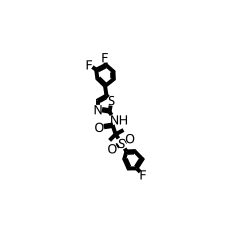 CC(C)(C(=O)Nc1ncc(-c2ccc(F)c(F)c2)s1)S(=O)(=O)c1ccc(F)cc1